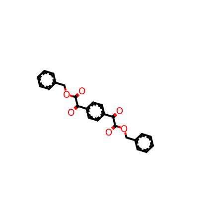 O=C(OCc1ccccc1)C(=O)c1ccc(C(=O)C(=O)OCc2ccccc2)cc1